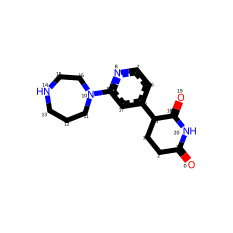 O=C1CCC(c2ccnc(N3CCCNCC3)c2)C(=O)N1